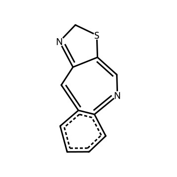 C1=C2SCN=C2C=c2ccccc2=N1